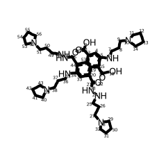 O=C(O)c1cc(NCCCN2CCCC2)c(C(=O)O)c2c(C(=O)NNCCCN3CCCC3)cc(NCCCN3CCCC3)c(C(=O)NNCCCN3CCCC3)c12